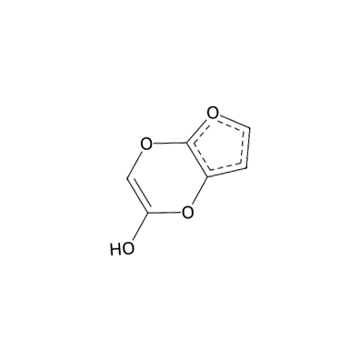 OC1=COc2occc2O1